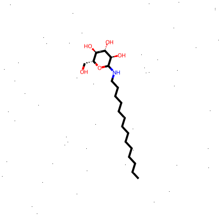 CCCCCCCCCCCCCCNC1O[C@H](CO)[C@@H](O)[C@H](O)[C@H]1O